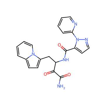 NC(=O)C(=O)C(Cc1ccc2ccccn12)NC(=O)c1ccnn1-c1ccccn1